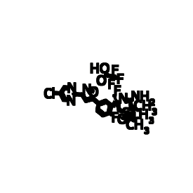 CN=S1(=O)C[C@@](CF)(c2cc(-c3cc(-c4ncc(Cl)cn4)no3)ccc2F)N=C(N)C1(C)C.O=C(O)C(F)(F)F